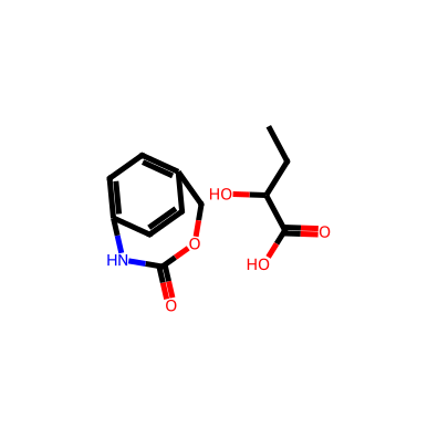 CCC(O)C(=O)O.O=C1Nc2ccc(cc2)CO1